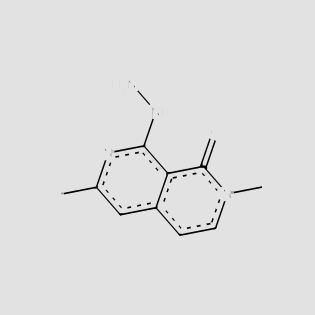 Cn1ccc2cc(Cl)nc(NN)c2c1=O